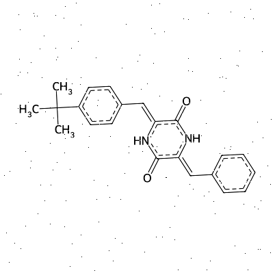 CC(C)(C)c1ccc(C=c2[nH]c(=O)c(=Cc3ccccc3)[nH]c2=O)cc1